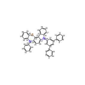 c1ccc(-c2cc(-c3ccccc3)cc(-n3c4ccccc4c4c5c(ccc43)N(c3ccccc3)c3ccccc3S5)c2)cc1